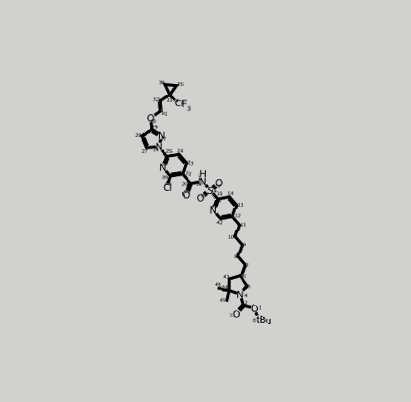 CC(C)(C)OC(=O)N1CC(CCCCCc2ccc(S(=O)(=O)NC(=O)c3ccc(-n4ccc(OCCC5(C(F)(F)F)CC5)n4)nc3Cl)nc2)CC1(C)C